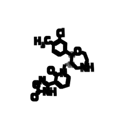 Cc1ccc([C@H]2OCCNC[C@@H]2Cn2cccc(-c3noc(=O)[nH]3)c2=O)cc1Cl